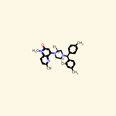 CC[C@H]1CN(C(c2ccc(C)cc2)c2ccc(C)cc2)[C@H](C)CN1c1cc(=O)n(C)c2ccc(C#N)nc12